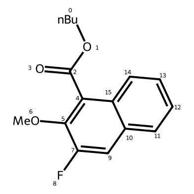 CCCCOC(=O)c1c(OC)c(F)cc2ccccc12